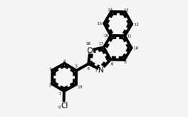 Clc1cccc(-c2nc3ccc4ccccc4c3o2)c1